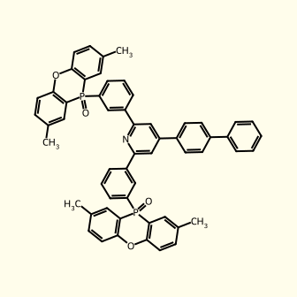 Cc1ccc2c(c1)P(=O)(c1cccc(-c3cc(-c4ccc(-c5ccccc5)cc4)cc(-c4cccc(P5(=O)c6cc(C)ccc6Oc6ccc(C)cc65)c4)n3)c1)c1cc(C)ccc1O2